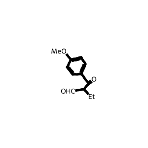 CCC(C=O)C(=O)c1ccc(OC)cc1